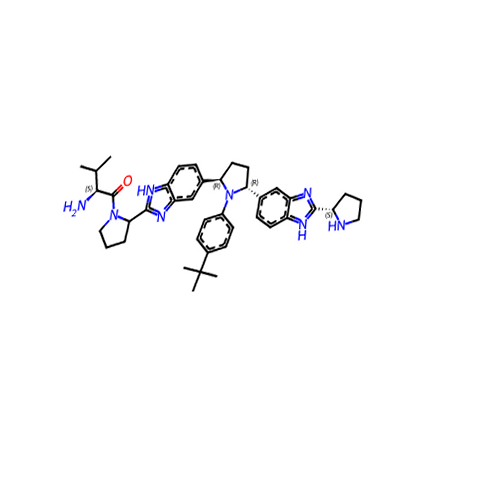 CC(C)[C@H](N)C(=O)N1CCCC1c1nc2cc([C@H]3CC[C@H](c4ccc5[nH]c([C@@H]6CCCN6)nc5c4)N3c3ccc(C(C)(C)C)cc3)ccc2[nH]1